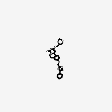 O=c1nc(OCC2COCCO2)cc2n1CCc1cc(OCc3ncc(-c4ccccc4)o3)ccc1-2